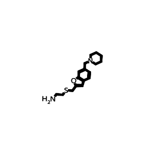 NCCSCc1cc2ccc(CN3CCCCC3)cc2o1